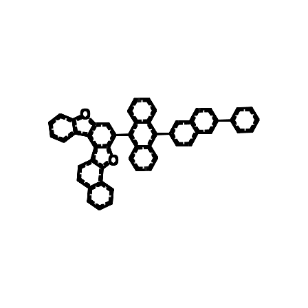 c1ccc(-c2ccc3cc(-c4c5ccccc5c(-c5cc6oc7ccccc7c6c6c5oc5c7ccccc7ccc56)c5ccccc45)ccc3c2)cc1